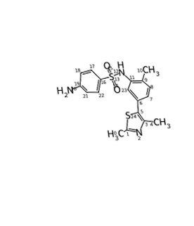 Cc1nc(C)c(-c2ccc(C)c(NS(=O)(=O)c3ccc(N)cc3)c2)s1